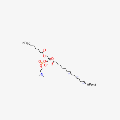 CCCCC/C=C/C/C=C/C/C=C/CCCCCCC(=O)O[C@H](COC(=O)CCCCCCCCCCCCCCC)COP(=O)([O-])OCC[N+](C)(C)C